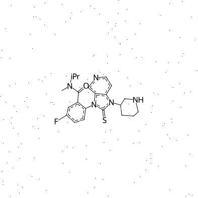 CC(C)N(C)C(=O)c1cc(F)ccc1-n1c(=S)n(C2CCCNC2)c2ccncc21